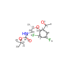 CC(=O)c1cc(F)cc(F)c1O[C@@H](C)CNC(=O)OC(C)(C)C